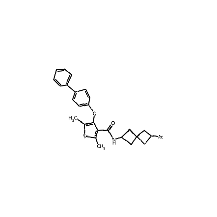 CC(=O)C1CC2(CC(NC(=O)c3c(C)sc(C)c3Oc3ccc(-c4ccccc4)cc3)C2)C1